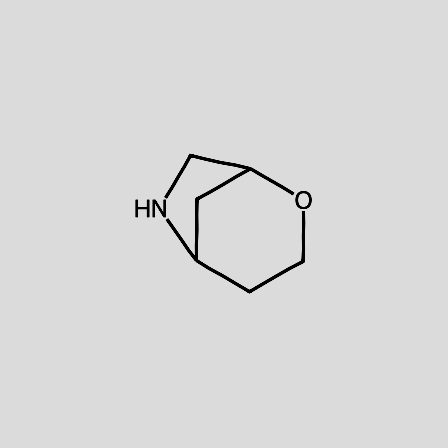 C1CC2CC(CN2)O1